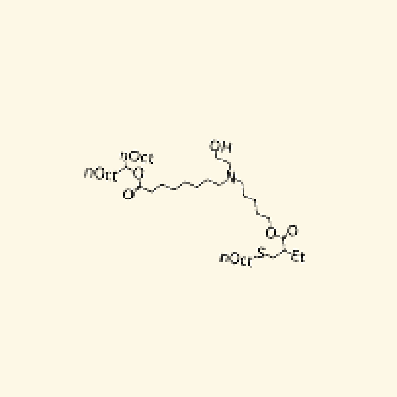 CCCCCCCCSCC(CC)C(=O)OCCCCCN(CCO)CCCCCCCC(=O)OC(CCCCCCCC)CCCCCCCC